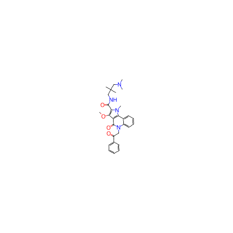 COc1c(C(=O)NCC(C)(C)CN(C)C)n(C)c2c1c(=O)n(CC(=O)c1ccccc1)c1ccccc21